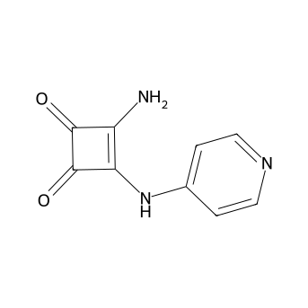 Nc1c(Nc2ccncc2)c(=O)c1=O